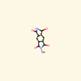 CCCn1c(=O)c2cc3c(=O)[nH]c(=O)c3cc2c1=O